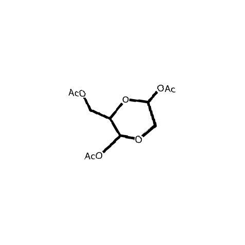 CC(=O)OCC1OC(OC(C)=O)COC1OC(C)=O